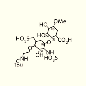 CO[C@@H]1CC(C(=O)O)[C@H](O[C@@H]2CC(CS(=O)(=O)O)[C@H](OCCNCC(C)(C)C)[C@@H](O)C2NS(=O)(=O)O)[C@@H](O)C1O